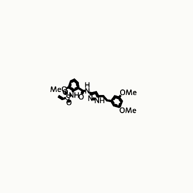 C=CS(=O)(=O)Nc1c(OC)cccc1C(=O)Nc1cc(CCc2cc(OC)cc(OC)c2)[nH]n1